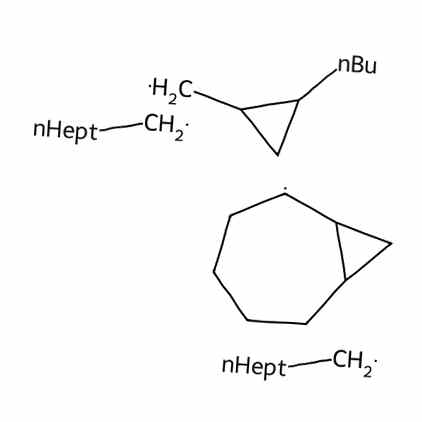 [CH2]C1CC1CCCC.[CH2]CCCCCCC.[CH2]CCCCCCC.[CH]1CCCCC2CC12